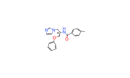 Cc1ccc(C(=O)N[C@@H](COc2ccccc2)Cn2ccnc2)cc1